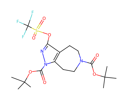 CC(C)(C)OC(=O)N1CCc2c(OS(=O)(=O)C(F)(F)F)nn(C(=O)OC(C)(C)C)c2CC1